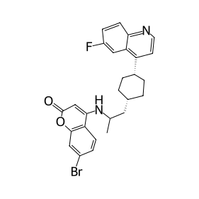 CC(C[C@H]1CC[C@@H](c2ccnc3ccc(F)cc32)CC1)Nc1cc(=O)oc2cc(Br)ccc12